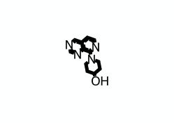 OC1CCN(c2nccc3cncnc23)CC1